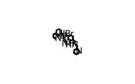 Br.NCCN(Cc1ccc(CNCc2ccccn2)cc1)C1CCCc2cccnc21